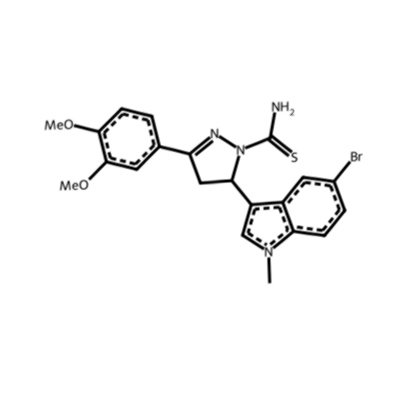 COc1ccc(C2=NN(C(N)=S)C(c3cn(C)c4ccc(Br)cc34)C2)cc1OC